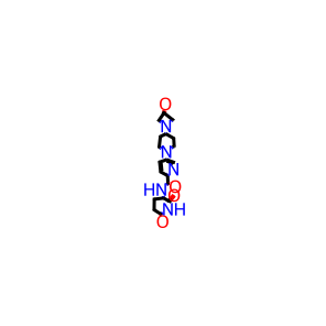 O=C1CN(C2CCN(c3ccc(C(=O)NC4CCC(=O)NC4=O)nc3)CC2)C1